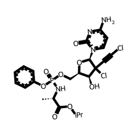 CC(C)OC(=O)[C@H](C)NP(=O)(OC[C@H]1O[C@@H](n2ccc(N)nc2=O)C(Cl)(C#CCl)[C@H]1O)Oc1ccccc1